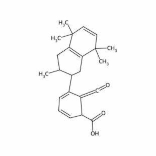 CC1CC2=C(CC1C1=CC=CC(C(=O)O)C1=C=O)C(C)(C)C=CC2(C)C